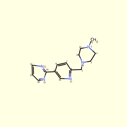 CN1CCN(Cc2ccc(-c3ncccn3)cn2)CC1